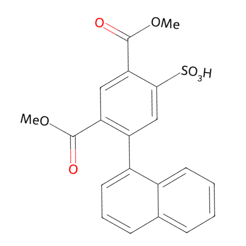 COC(=O)c1cc(C(=O)OC)c(S(=O)(=O)O)cc1-c1cccc2ccccc12